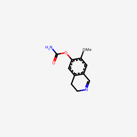 COc1cc2c(cc1OC(N)=O)CCN=C2